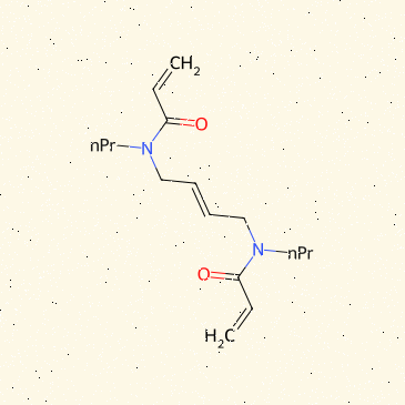 C=CC(=O)N(C/C=C/CN(CCC)C(=O)C=C)CCC